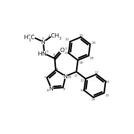 CN(C)NC(=O)c1cncn1C(c1ccccc1)c1ccccc1